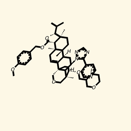 COc1ccc(COC(=O)[C@@H]2[C@@](C)([C@H](C)C(C)C)CC[C@]3(C)[C@H]4CC[C@@H]5[C@@]6(COC[C@]5(C)[C@@H](OCC5COCCN5)[C@H](n5ncnc5-c5ccncc5)C6)C4=CC[C@@]23C)cc1